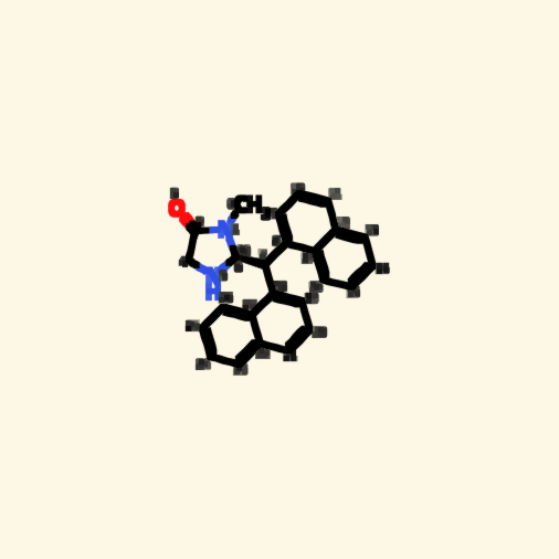 CN1C(=O)CN[C@@H]1C(c1cccc2ccccc12)c1cccc2ccccc12